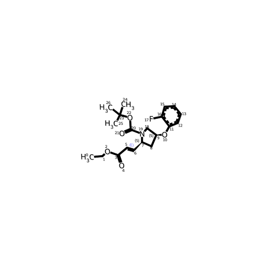 CCOC(=O)/C=C/[C@@H]1C[C@H](Oc2ccccc2F)CN1C(=O)OC(C)(C)C